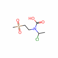 CC(Cl)N(CCS(C)(=O)=O)C(=O)O